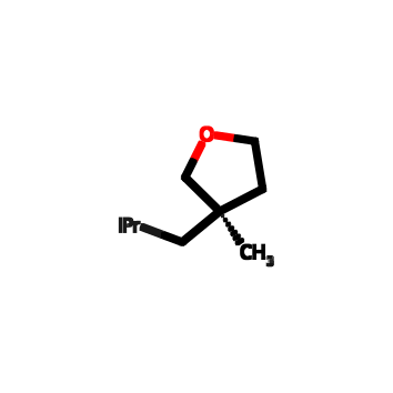 CC(C)C[C@]1(C)CCOC1